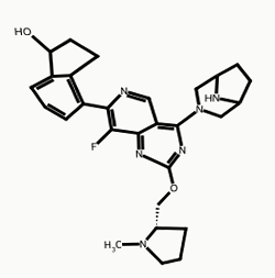 CN1CCC[C@H]1COc1nc(N2CC3CCC(C2)N3)c2cnc(-c3cccc4c3CCC4O)c(F)c2n1